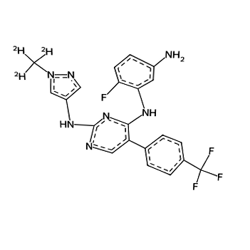 [2H]C([2H])([2H])n1cc(Nc2ncc(-c3ccc(C(F)(F)F)cc3)c(Nc3cc(N)ccc3F)n2)cn1